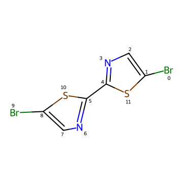 Brc1cnc(-c2ncc(Br)s2)s1